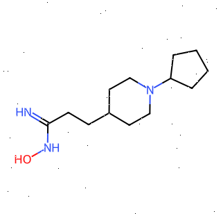 N=C(CCC1CCN(C2CCCC2)CC1)NO